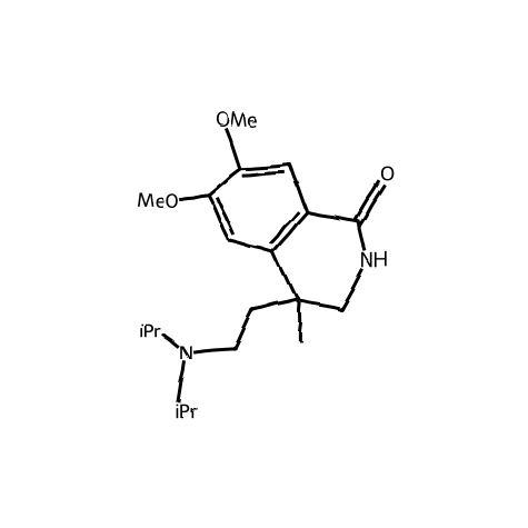 COc1cc2c(cc1OC)C(C)(CCN(C(C)C)C(C)C)CNC2=O